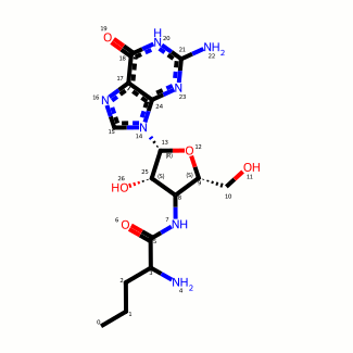 CCCC(N)C(=O)NC1[C@@H](CO)O[C@@H](n2cnc3c(=O)[nH]c(N)nc32)[C@H]1O